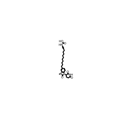 Cn1c(=O)n(C2CCC(=O)NC2=O)c2ccc(CCCCCCCCCCC#CNC(=O)O)cc21